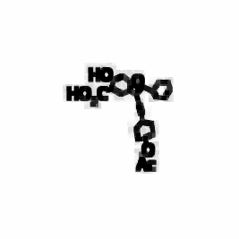 CC(=O)COc1ccc(C#Cc2c(-c3ccccc3)oc3cc(O)c(C(=O)O)cc23)cc1